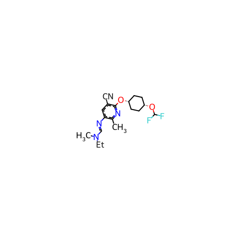 CCN(C)/C=N/c1cc(C#N)c(O[C@H]2CC[C@@H](OC(F)F)CC2)nc1C